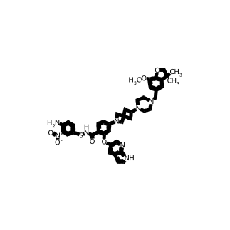 COc1cc(CN2CCN(C3CC4(C3)CN(c3ccc(C(=O)NSc5ccc(N)c([N+](=O)[O-])c5)c(Oc5cnc6[nH]ccc6c5)c3)C4)CC2)cc2c1OCC2(C)C